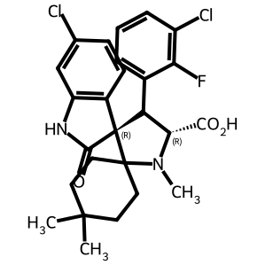 CN1[C@@H](C(=O)O)C(c2cccc(Cl)c2F)[C@]2(C(=O)Nc3cc(Cl)ccc32)C12CCC(C)(C)CC2